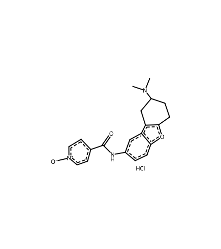 CN(C)C1CCc2oc3ccc(NC(=O)c4cc[n+]([O-])cc4)cc3c2C1.Cl